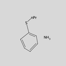 CCCSc1ccccc1.N